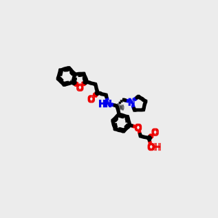 O=C(O)COc1cccc([C@@H](CN2CCCC2)NCC(=O)Cc2cc3ccccc3o2)c1